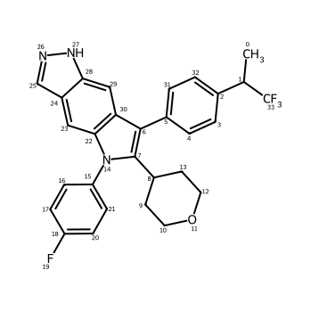 CC(c1ccc(-c2c(C3CCOCC3)n(-c3ccc(F)cc3)c3cc4cn[nH]c4cc23)cc1)C(F)(F)F